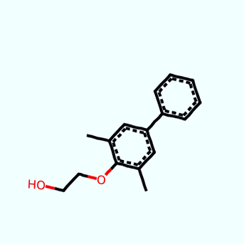 Cc1cc(-c2ccccc2)cc(C)c1OCCO